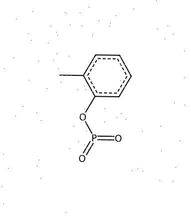 Cc1ccccc1OP(=O)=O